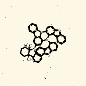 CC12CCCCC1(C)N(c1cc3c4c(c1)N(c1cccc5sc6ccccc6c15)c1c(ccc5sc6ccccc6c15)B4c1ccccc1-3)c1ccccc12